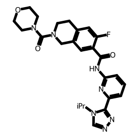 CC(C)n1cnnc1-c1cccc(NC(=O)c2cc3c(cc2F)CCN(C(=O)N2CCOCC2)C3)n1